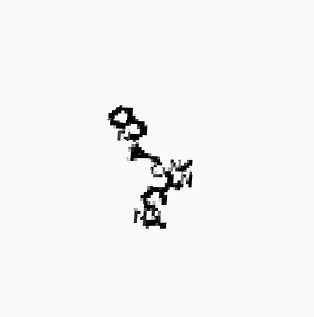 Cc1ncc(-c2ccc3ncc(C)n3c2)c(OCC2C[C@H]2c2ccc3ccccc3n2)n1